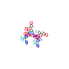 CCOC(=O)C[C@H](NC(=O)C(CC(C)C)n1cc(CCN2CCC2)c(C(F)(F)F)cc1=O)c1cc(-c2c(C)cc(OC)cc2C)cc(C)c1F.COc1cc(C)c(-c2cc(C)c(F)c([C@H](CC(=O)O)NC(=O)C(CC(C)C)n3cc(CCN4CCC4)c(C(F)(F)F)cc3=O)c2)c(C)c1